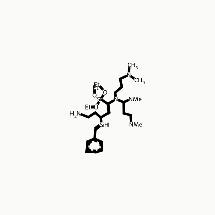 CCO[Si](OCC)(OCC)C(CC(CCN)[SiH]=Cc1ccccc1)N(CCCN(C)C)C(CCNC)NC